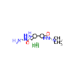 CN(C)CCNC(=O)c1ccc(-c2ccc3[nH]c(C(=O)NCCN)cc3c2)cc1.Cl.Cl